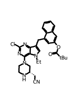 CCn1cc(Cc2cc(OC(=O)C(C)(C)C)cc3ccccc23)c2nc(Cl)nc(N3CCN[C@@H](CC#N)C3)c21